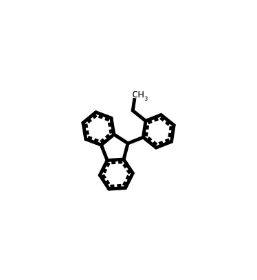 CCc1ccccc1C1c2ccccc2-c2ccccc21